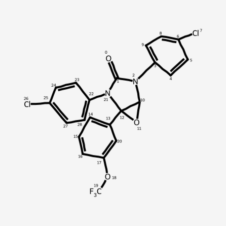 O=C1N(c2ccc(Cl)cc2)C2OC2(c2cccc(OC(F)(F)F)c2)N1c1ccc(Cl)cc1